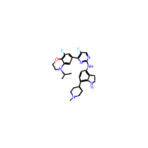 CC(C)N1CCOc2c(F)cc(-c3nc(Nc4ccc(C5CCN(C)CC5)c5c4CCN5)ncc3F)cc21